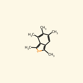 CC1=c2cc(C)c(C)c(C)c2=C(C)[P]1